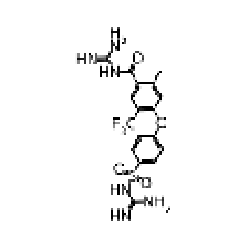 Cc1cc(Oc2ccc(S(=O)(=O)NC(=N)N)cc2)c(C(F)(F)F)cc1C(=O)NC(=N)N